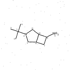 CC(C)(C)N1CC2CC(N)C2C1